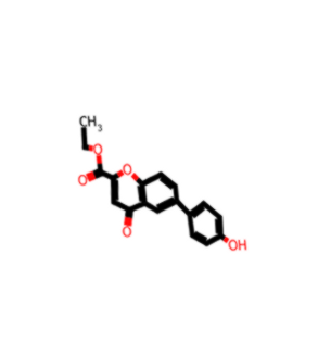 CCOC(=O)c1cc(=O)c2cc(-c3ccc(O)cc3)ccc2o1